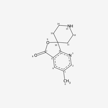 Cc1cnc2c(c1)C(=O)OC21CCNCC1